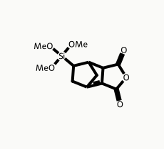 CO[Si](OC)(OC)C1CC2=C3C(=O)OC(=O)C3C1C2